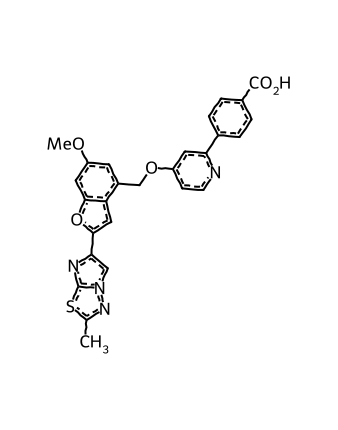 COc1cc(COc2ccnc(-c3ccc(C(=O)O)cc3)c2)c2cc(-c3cn4nc(C)sc4n3)oc2c1